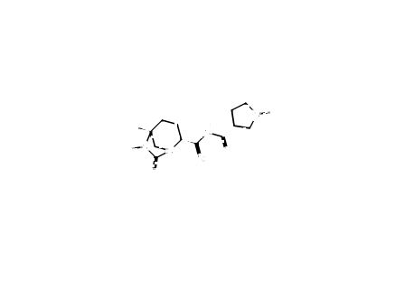 N=C(NC(=O)[C@@H]1CCN(C(=O)O)C1)[C@@H]1CC[C@@H]2CN1C(=O)N2O